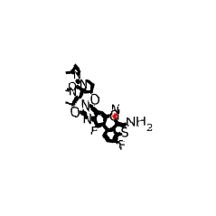 CC1CCN1C(=O)N1CCC(Oc2nc(O[C@@H](C)[C@@H]3CCCN3C)nc3c(F)c(-c4ccc(F)c5sc(N)c(C#N)c45)c(Cl)cc23)C1